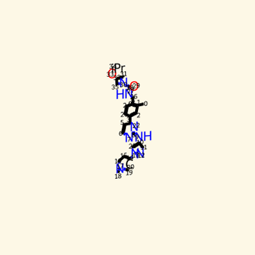 Cc1cc(-c2ccnc(Nc3cnn(C4CCN(C)CC4)c3)n2)ccc1CNC(=O)N1CC(OC(C)C)C1